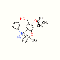 CC(C)(C)[Si](C)(C)Oc1cc(O[Si](C)(C)C(C)(C)C)c(-c2ccnn2-c2ccccc2)cc1CO